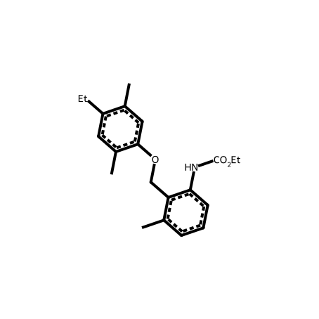 CCOC(=O)Nc1cccc(C)c1COc1cc(C)c(CC)cc1C